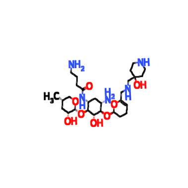 C[C@@H]1CO[C@H](O[C@@H]2[C@@H](O)[C@H](O[C@@H]3CCC=C(CNCC4(O)CCNCC4)O3)[C@@H](N)C[C@H]2NC(=O)CCCN)[C@H](O)C1